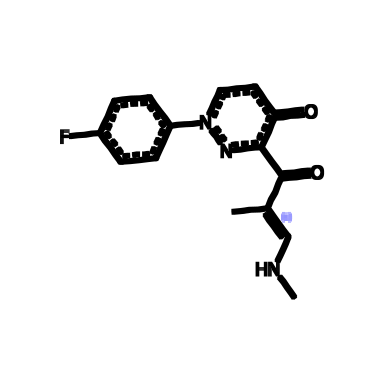 CN/C=C(\C)C(=O)c1nn(-c2ccc(F)cc2)ccc1=O